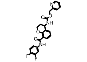 O=C(NC1CCOc2c(C(=O)Nc3ccc(F)c(F)c3)cccc21)OCc1ccccn1